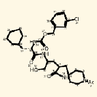 CC(=O)N1CCC2(CC1)CC(CC(CO)NC(=O)[C@H](CC1CCCCC1)NC(=O)OCc1cccc(Cl)c1)C(=O)N2